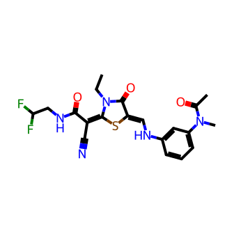 CCn1c(=C(C#N)C(=O)NCC(F)F)sc(=CNc2cccc(N(C)C(C)=O)c2)c1=O